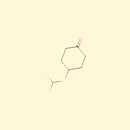 O=C1CCC(OC(F)F)CC1